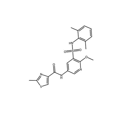 COc1ncc(NC(=O)c2csc(C)n2)cc1S(=O)(=O)Nc1c(C)cccc1C